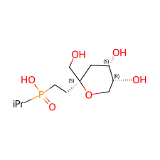 CC(C)P(=O)(O)CC[C@]1(CO)C[C@H](O)[C@H](O)CO1